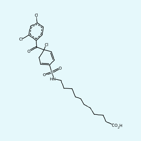 O=C(O)CCCCCCCCCCNS(=O)(=O)C1=CCC(Cl)(C(=O)c2ccc(Cl)cc2Cl)C=C1